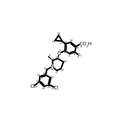 C[C@H]1[C@@H](Oc2cc(F)c(C(=O)O)cc2C2CC2)CCCN1Cc1cc(Cl)cc(Cl)c1